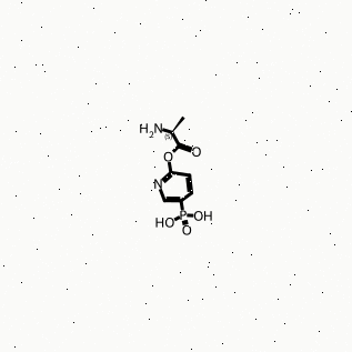 C[C@H](N)C(=O)Oc1ccc(P(=O)(O)O)cn1